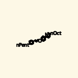 CCCCCCCCc1ccc(-c2ccc(OC/C=C/[C@H]3CC[C@H](CCCCC)CC3)cc2)nc1